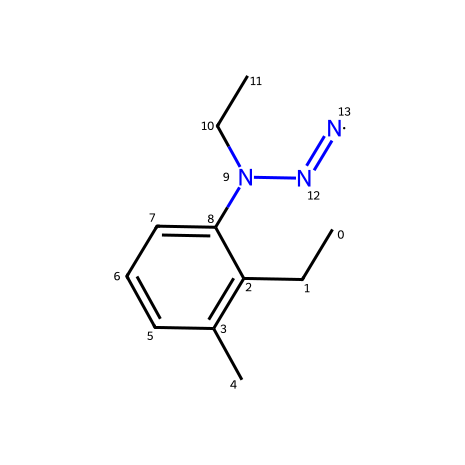 CCc1c(C)cccc1N(CC)N=[N]